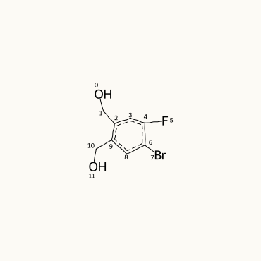 OCc1cc(F)c(Br)cc1CO